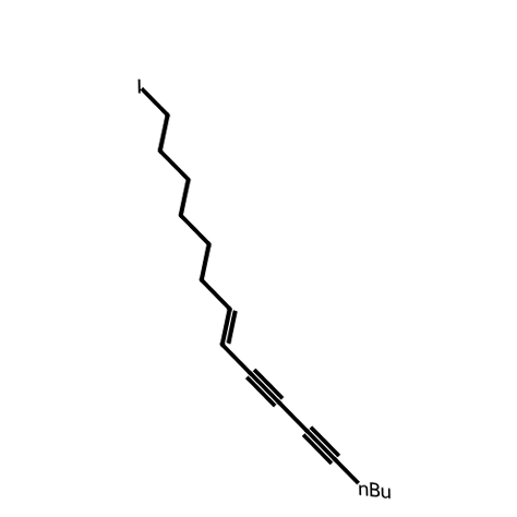 CCCCC#CC#CC=CCCCCCCI